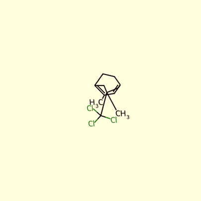 CC1=C2CCC(=C1)CC(C)(C(Cl)(Cl)Cl)C2